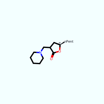 CCCCC[C@@H]1CC(CN2CCCCC2)C(=O)O1